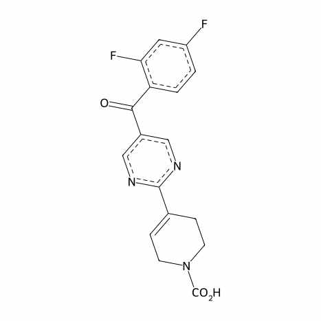 O=C(c1cnc(C2=CCN(C(=O)O)CC2)nc1)c1ccc(F)cc1F